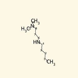 CCCCCNCCCN(C)C